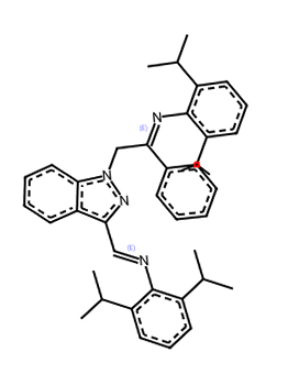 CC(C)c1cccc(C(C)C)c1/N=C/c1nn(C/C(=N/c2c(C(C)C)cccc2C(C)C)c2ccccc2)c2ccccc12